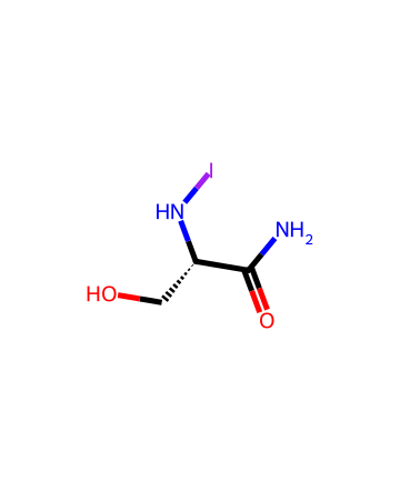 NC(=O)[C@H](CO)NI